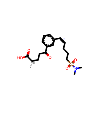 C[C@@H](CCC(=O)c1cccc(/C=C\CCCS(=O)(=O)N(C)C)c1)C(=O)O